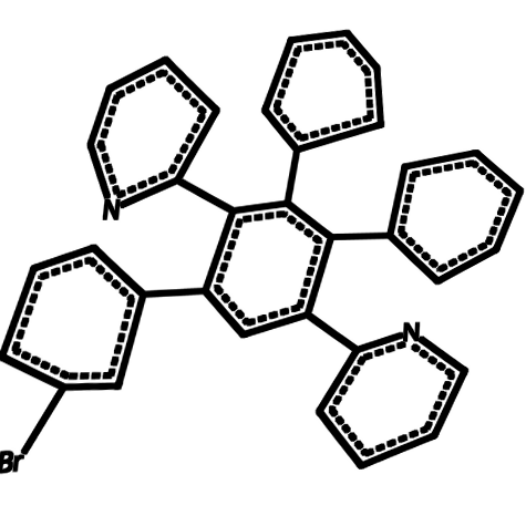 Brc1cccc(-c2cc(-c3ccccn3)c(-c3ccccc3)c(-c3ccccc3)c2-c2ccccn2)c1